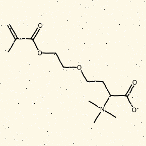 C=C(C)C(=O)OCCOCCC(C(=O)[O-])[N+](C)(C)C